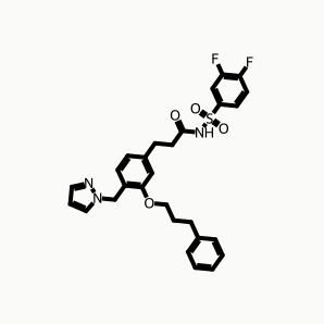 O=C(CCc1ccc(Cn2cccn2)c(OCCCc2ccccc2)c1)NS(=O)(=O)c1ccc(F)c(F)c1